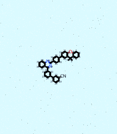 CC1(C)c2ccccc2Oc2ccc(-c3ccc(-c4nc(-c5cccc(-c6cccc(C#N)c6)c5)c5ccccc5n4)cc3)cc21